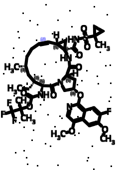 CC[C@@H]1C[C@H](C)CC/C=C\[C@@H]2C[C@@]2(C(=O)NS(=O)(=O)C2(C)CC2)NC(=O)[C@@H]2C[C@@H](Oc3ncc(OC)c4cc(OC)c(F)cc34)CN2C(=O)[C@H]1NC(=O)OC(C)(C)C(F)(F)F